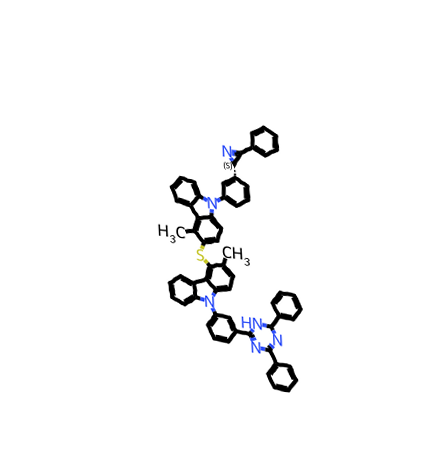 Cc1ccc2c(c1Sc1ccc3c(c1C)c1ccccc1n3-c1cccc([C@@H]3N=C3c3ccccc3)c1)c1ccccc1n2-c1cccc(C2=NC(c3ccccc3)=NC(c3ccccc3)N2)c1